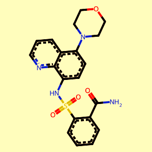 NC(=O)c1ccccc1S(=O)(=O)Nc1ccc(N2CCOCC2)c2cccnc12